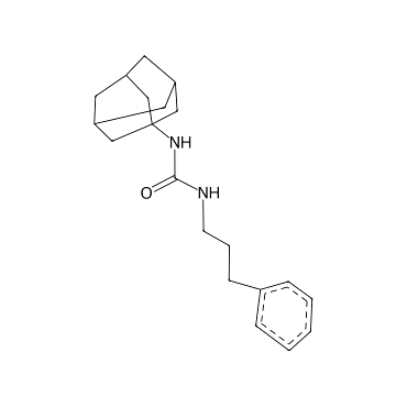 O=C(NCCCc1ccccc1)NC12CC3CC(CC(C3)C1)C2